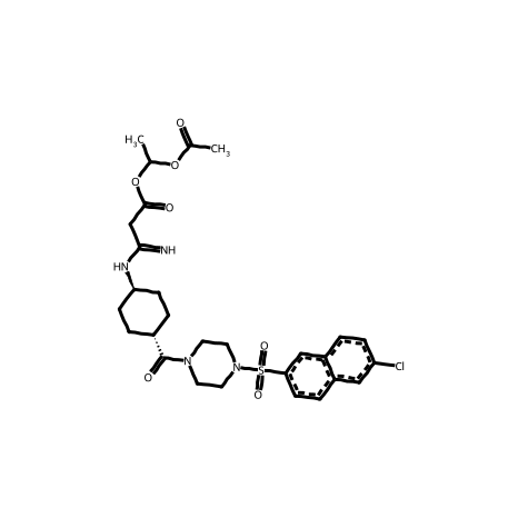 CC(=O)OC(C)OC(=O)CC(=N)N[C@H]1CC[C@H](C(=O)N2CCN(S(=O)(=O)c3ccc4cc(Cl)ccc4c3)CC2)CC1